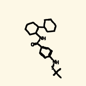 CC(C)(C)SNc1ccc(C(=O)NC2CCCCC2C2CCCCC2)cc1